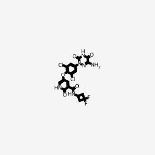 Nc1nn(-c2cc(Cl)c(Oc3c[nH]c(=O)c(C(=O)NC4CC(F)(F)C4)c3)c(Cl)c2)c(=O)[nH]c1=O